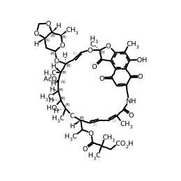 CC(=O)O[C@H]1[C@H](C)[C@H](O)[C@H](C)C[C@@H](C(C)OC(=O)C(C)(C)CC(=O)O)/C=C/C=C(/C)C(=O)NC2=CC(=O)c3c(c(O)c(C)c4c3C(=O)[C@@](C)(O/C=C/[C@H](O[C@H]3C[C@@H]5OCO[C@@H]5[C@@H](C)O3)[C@H]1C)O4)C2=O